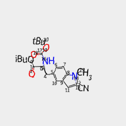 CC(C)COC(=O)[C@H](Cc1ccc2c(c1)cc(C#N)n2C)NC(=O)OC(C)(C)C